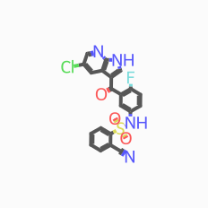 N#Cc1ccccc1S(=O)(=O)Nc1ccc(F)c(C(=O)c2c[nH]c3ncc(Cl)cc23)c1